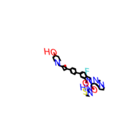 O=C(Nc1nccs1)C(c1ncn2c1CCC2)N1Cc2c(F)cc(-c3ccc(C45CC(CN6CCC(O)CC6)(C4)C5)cc3)cc2C1=O